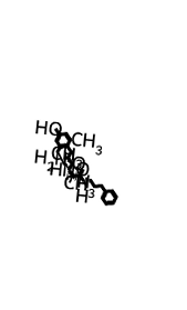 Cc1cc(O)cc(C)c1C[C@H](N)C(=O)N[C@H](C)C(=O)NCCCc1ccccc1